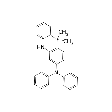 CC1(C)c2ccccc2Nc2cc(N(c3ccccc3)c3ccccc3)ccc21